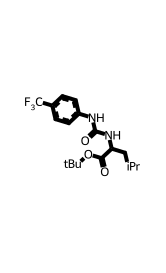 CC(C)CC(NC(=O)Nc1ccc(C(F)(F)F)cc1)C(=O)OC(C)(C)C